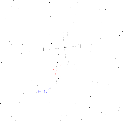 CC(C)(C)COCN